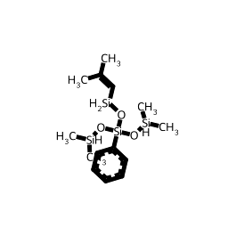 CC(C)=C[SiH2]O[Si](O[SiH](C)C)(O[SiH](C)C)c1ccccc1